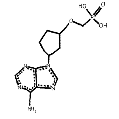 Nc1ncnc2c1ncn2C1CCC(OCP(=O)(O)O)C1